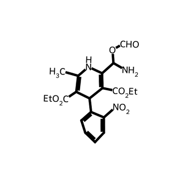 CCOC(=O)C1=C(C)NC(C(N)OC=O)=C(C(=O)OCC)C1c1ccccc1[N+](=O)[O-]